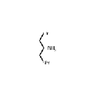 CCCCCCC(C)C.N